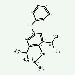 CC(C)c1cc(Oc2ccccc2)cc(C(C)C)c1NC(N)=S